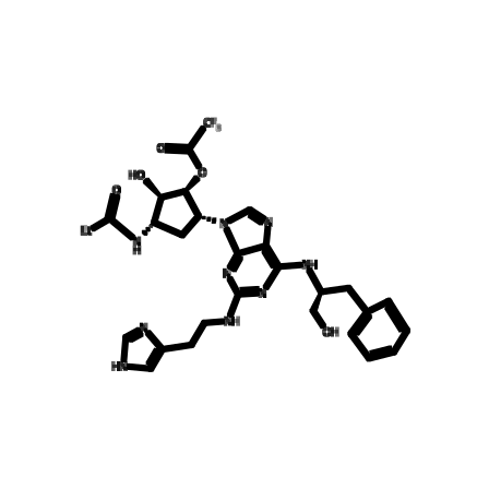 CCC(=O)N[C@H]1C[C@@H](n2cnc3c(N[C@H](CO)Cc4ccccc4)nc(NCCc4c[nH]cn4)nc32)[C@H](OC(=O)C(F)(F)F)[C@@H]1O